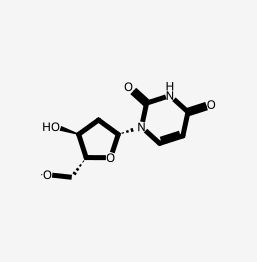 [O]C[C@H]1O[C@@H](n2ccc(=O)[nH]c2=O)C[C@@H]1O